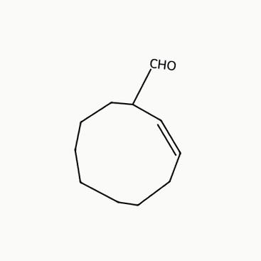 O=CC1C=CCCCCCCC1